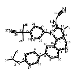 CC(C)Sc1ccc(-c2ccc3ncc4c(c3c2)n(-c2ccc(C(C)(C)C#N)nc2)c(=NC#N)n4C)cc1